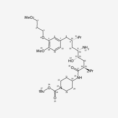 COCCCOc1cc(C[C@@H](C[C@H](N)[C@@H](O)C[C@H](C(=O)NC2CCN(C(=O)OC(C)(C)C)CC2)C(C)C)C(C)C)ccc1OC